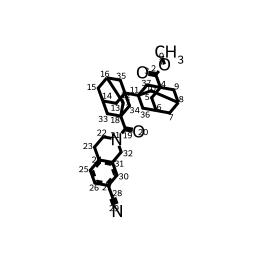 COC(=O)C12CC3CC(C1)CC(C14CC5CC(CC(C(=O)N6CCc7ccc(C#N)cc7C6)(C5)C1)C4)(C3)C2